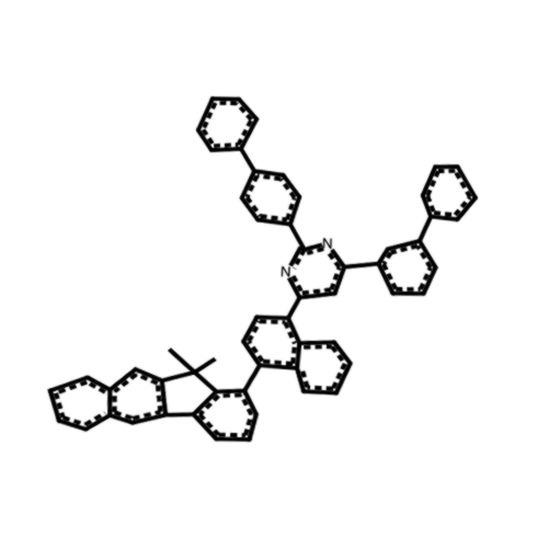 CC1(C)c2cc3ccccc3cc2-c2cccc(-c3ccc(-c4cc(-c5cccc(-c6ccccc6)c5)nc(-c5ccc(-c6ccccc6)cc5)n4)c4ccccc34)c21